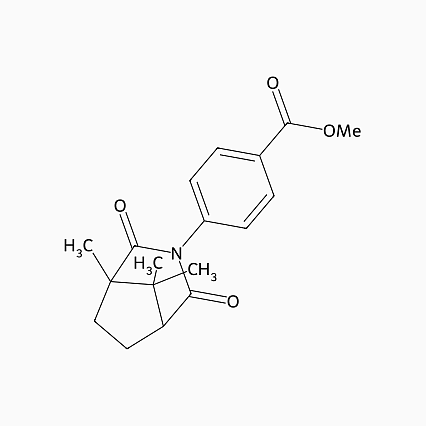 COC(=O)c1ccc(N2C(=O)C3CCC(C)(C2=O)C3(C)C)cc1